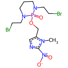 Cn1c(COP2(=O)N(CCBr)CCCN2CCBr)cnc1[N+](=O)[O-]